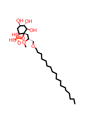 CCCCCCCCCCCCCCCCCCOC[C@@H](C[C@@]1(OP(=O)(O)O)[C@H](O)C[C@@H](O)[C@H](O)[C@H]1O)OC